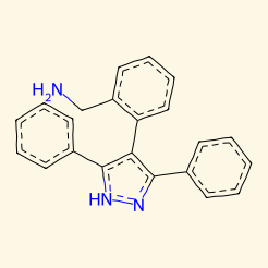 NCc1ccccc1-c1c(-c2ccccc2)n[nH]c1-c1ccccc1